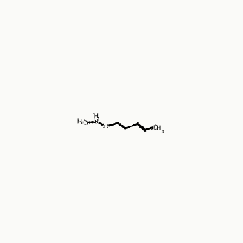 CCCCCOBO